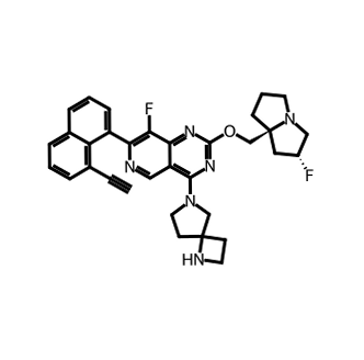 C#Cc1cccc2cccc(-c3ncc4c(N5CCC6(CCN6)C5)nc(OC[C@@]56CCCN5C[C@H](F)C6)nc4c3F)c12